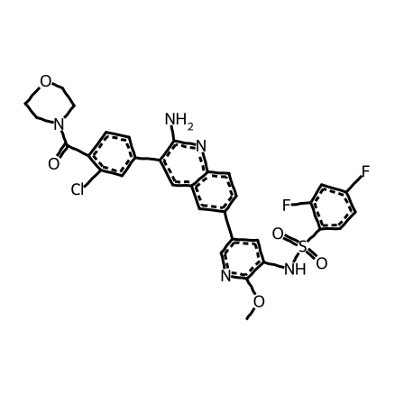 COc1ncc(-c2ccc3nc(N)c(-c4ccc(C(=O)N5CCOCC5)c(Cl)c4)cc3c2)cc1NS(=O)(=O)c1ccc(F)cc1F